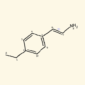 CCc1ccc(/C=C/N)cc1